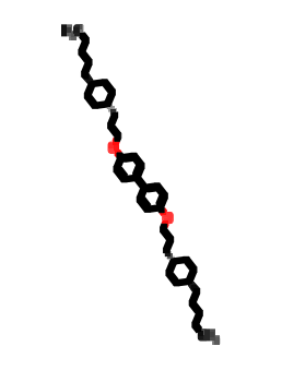 CCCCC[C@H]1CC[C@H](CCCOc2ccc(-c3ccc(OCCC[C@H]4CC[C@H](CCCCC)CC4)cc3)cc2)CC1